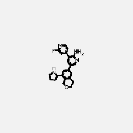 Nc1ncc(-c2cc3c(c(C4CCCN4)c2)COCC3)cc1-c1ccnc(F)c1